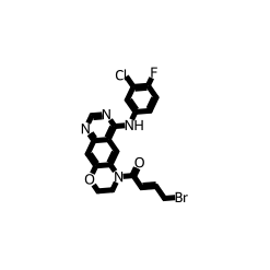 O=C(/C=C/CBr)N1CCOc2cc3ncnc(Nc4ccc(F)c(Cl)c4)c3cc21